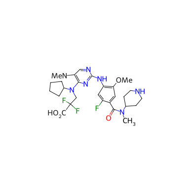 CNc1cnc(Nc2cc(F)c(C(=O)N(C)C3CCNCC3)cc2OC)nc1N(CC(F)(F)C(=O)O)C1CCCC1